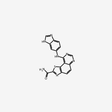 NC(=O)c1nc2ccc3ncnc(Nc4ccc5nc[nH]c5c4)c3c2s1